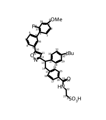 COc1ccc(-c2cccc(-c3cc(C(Cc4ccc(C(=O)NCCS(=O)(=O)O)cc4)c4ccc(C(C)(C)C)cc4)no3)c2)c(F)c1